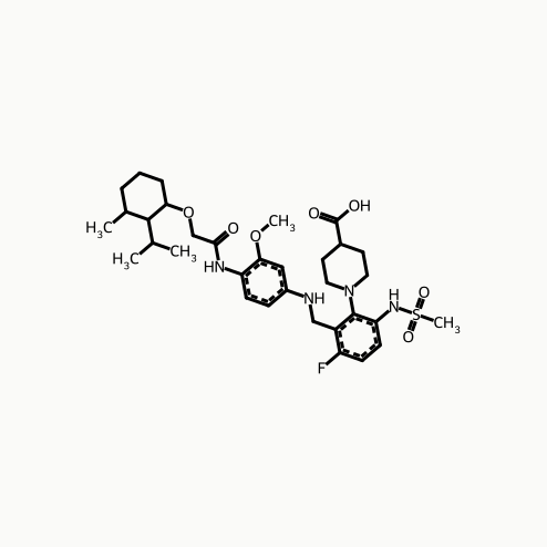 COc1cc(NCc2c(F)ccc(NS(C)(=O)=O)c2N2CCC(C(=O)O)CC2)ccc1NC(=O)COC1CCCC(C)C1C(C)C